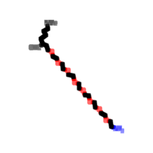 CNCCCCC(C=O)CCOCCOCCOCCOCCOCCOCCOCCOCCN